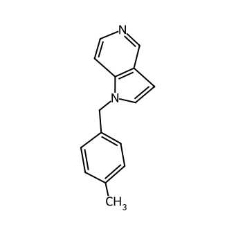 Cc1ccc(Cn2ccc3cnccc32)cc1